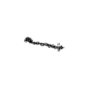 CC1CCN(C(=O)NCCOCCOCCOCCOCCOCCOCCOCCn2cc(CN3C(=O)C=CC3=O)nn2)C1